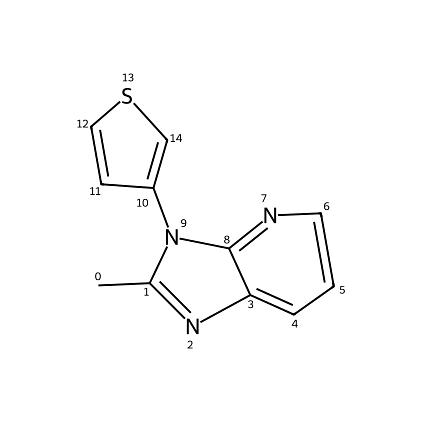 Cc1nc2cccnc2n1-c1ccsc1